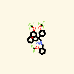 FC(F)Oc1ccccc1CNCC(Cc1ccccc1)(c1cccc(OC(F)(F)F)c1)c1cccc(OC(F)(F)F)c1